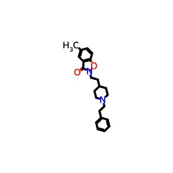 Cc1ccc2on(CCC3CCN(CCc4ccccc4)CC3)c(=O)c2c1